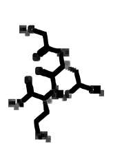 CCC(=O)N[C@H](CC(C)C)C(=O)N[C@@H](CCN)C(N)=O